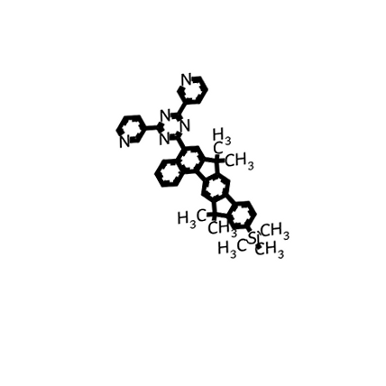 CC1(C)c2cc([Si](C)(C)C)ccc2-c2cc3c(cc21)-c1c(cc(-c2nc(-c4cccnc4)nc(-c4cccnc4)n2)c2ccccc12)C3(C)C